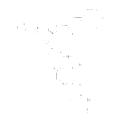 CCNC(=O)Nc1ncnc2c1ncn2[C@@H]1O[C@H](CCC(=O)O)[C@@H]2O[C@H](Cc3ccccc3)OC21